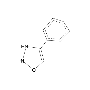 C1=C(c2ccccc2)N[N]O1